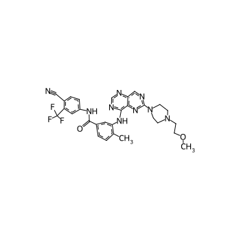 COCCN1CCN(c2ncc3ncnc(Nc4cc(C(=O)Nc5ccc(C#N)c(C(F)(F)F)c5)ccc4C)c3n2)CC1